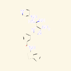 N=C(NNc1ccncc1)c1nc(-c2cccc(C(=O)NC3CCc4ccccc43)c2)cnc1N